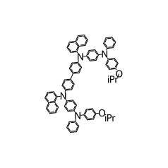 CC(C)Oc1ccc(N(c2ccccc2)c2ccc(N(c3ccc(-c4ccc(N(c5ccc(N(c6ccccc6)c6ccc(OC(C)C)cc6)cc5)c5cccc6ccccc56)cc4)cc3)c3cccc4ccccc34)cc2)cc1